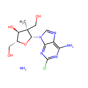 C[C@@]1(CO)[C@H](O)[C@@H](CO)O[C@H]1n1cnc2c(N)nc(Cl)nc21.N